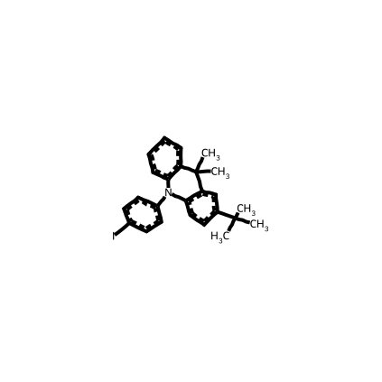 CC(C)(C)c1ccc2c(c1)C(C)(C)c1ccccc1N2c1ccc(I)cc1